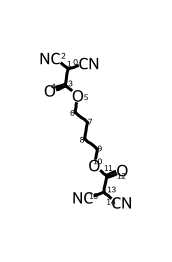 N#CC(C#N)C(=O)OCCCCOC(=O)C(C#N)C#N